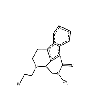 CC(C)CCN1CCc2c3n(c4ccccc24)C(=O)N(C)CC31